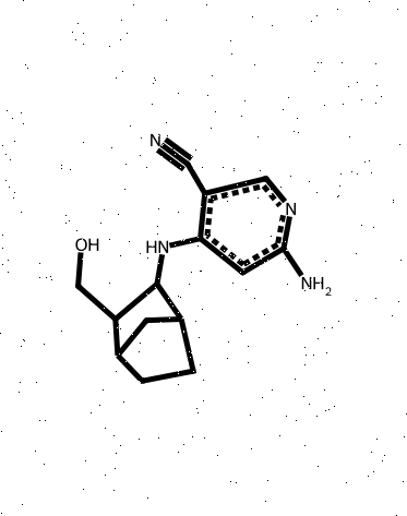 N#Cc1cnc(N)cc1NC1C2CCC(C2)C1CO